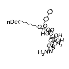 CCCCCCCCCCCCCCCCCCOC[C@H](COP(=O)(O)OC[C@H]1O[C@@](C)(c2ccc3c(N)ncnn23)[C@H](O)[C@@H]1O)OCc1ccc(-c2ccccc2)cc1